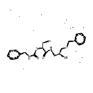 CC(C)CC(OC(=O)NCc1ccccc1)C(=O)NCC(C#N)COCc1ccccc1